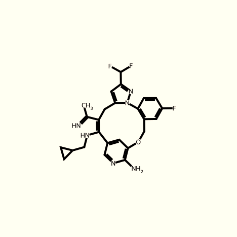 CC(=N)/C1=C(\NCC2CC2)c2cnc(N)c(c2)OCc2cc(F)ccc2-n2nc(C(F)F)cc2C1